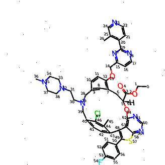 CCOC(=O)[C@H]1Cc2cc(ccc2OCc2ccnc(-c3ccncc3C)n2)CN(CCN2CCN(C)CC2)Cc2ccc(c(C)c2Cl)-c2c(-c3ccc(F)cc3)sc3ncnc(c23)O1